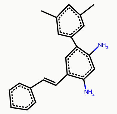 Cc1cc(C)cc(-c2cc(C=Cc3ccccc3)c(N)cc2N)c1